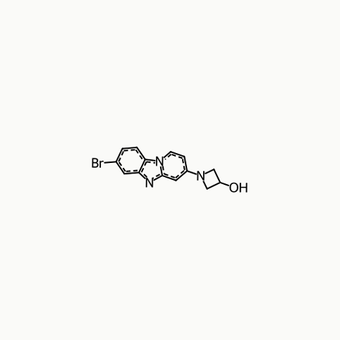 OC1CN(c2ccn3c(c2)nc2cc(Br)ccc23)C1